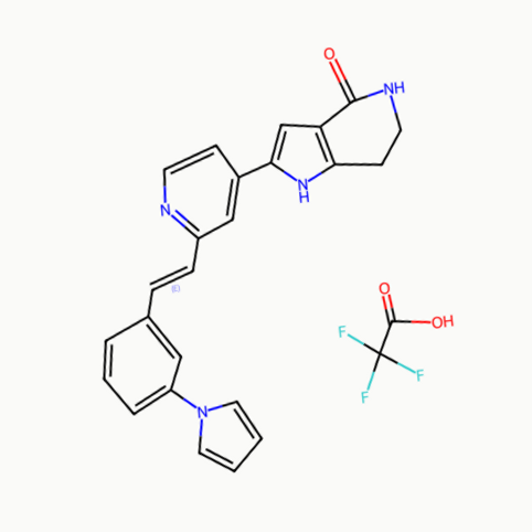 O=C(O)C(F)(F)F.O=C1NCCc2[nH]c(-c3ccnc(/C=C/c4cccc(-n5cccc5)c4)c3)cc21